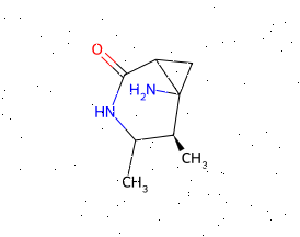 CC1NC(=O)C2CC2(N)[C@H]1C